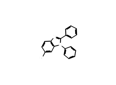 Brc1ccc2nc(-c3ccccc3)n(-c3ccccc3)c2c1